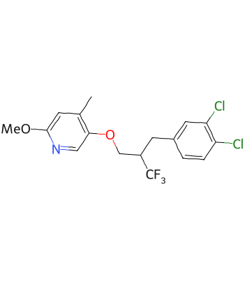 COc1cc(C)c(OCC(Cc2ccc(Cl)c(Cl)c2)C(F)(F)F)cn1